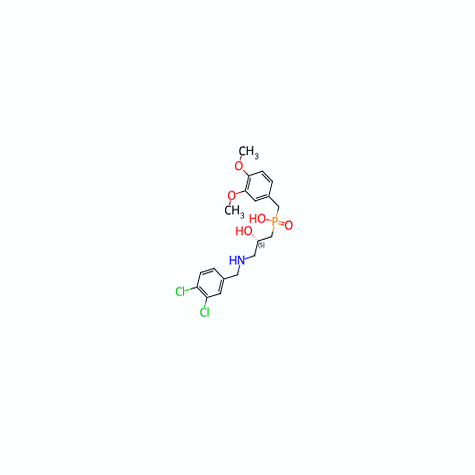 COc1ccc(CP(=O)(O)C[C@@H](O)CNCc2ccc(Cl)c(Cl)c2)cc1OC